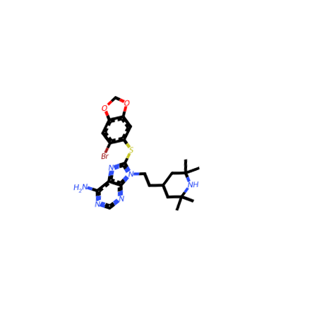 CC1(C)CC(CCn2c(Sc3cc4c(cc3Br)OCO4)nc3c(N)ncnc32)CC(C)(C)N1